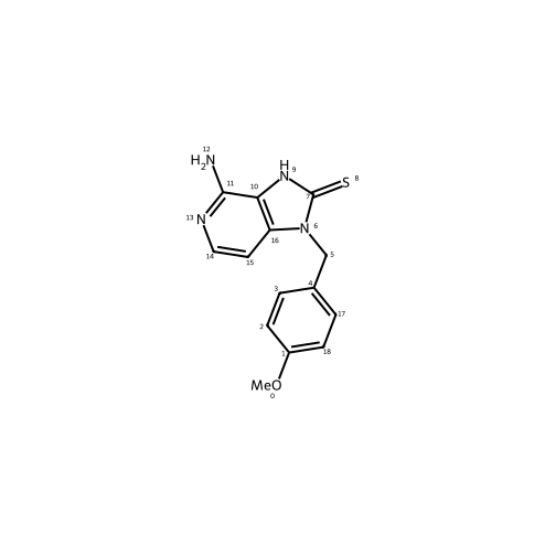 COc1ccc(Cn2c(=S)[nH]c3c(N)nccc32)cc1